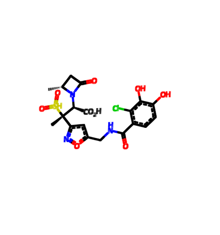 C[C@@H]1CC(=O)N1[C@@H](C(=O)O)[C@](C)(c1cc(CNC(=O)c2ccc(O)c(O)c2Cl)on1)[SH](=O)=O